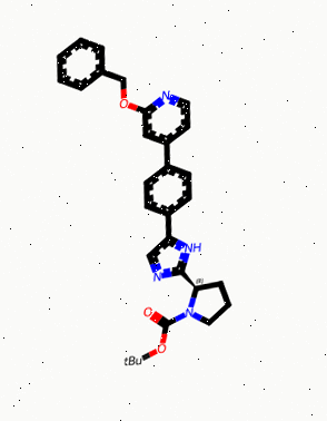 CC(C)(C)OC(=O)N1CCC[C@@H]1c1ncc(-c2ccc(-c3ccnc(OCc4ccccc4)c3)cc2)[nH]1